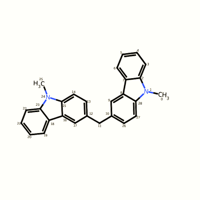 Cn1c2ccccc2c2cc(Cc3ccc4c(c3)c3ccccc3n4C)ccc21